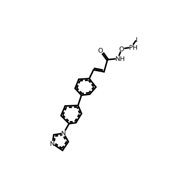 O=C(/C=C/c1ccc(-c2ccc(-n3ccnc3)cc2)cc1)NOPI